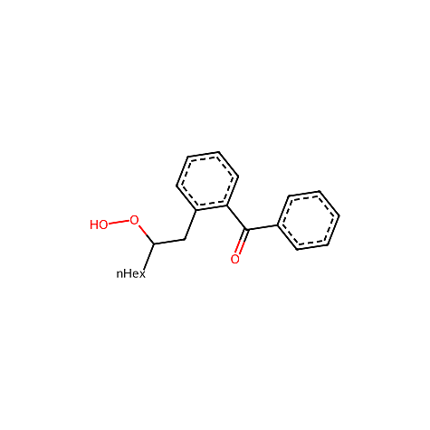 CCCCCCC(Cc1ccccc1C(=O)c1ccccc1)OO